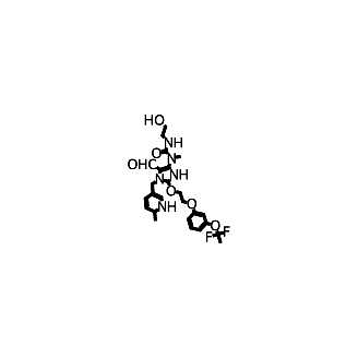 CC1C=CC(CN2C(C=O)=C(N(C)C(=O)NCCO)NC2OCCOc2cccc(OC(C)(F)F)c2)=CN1